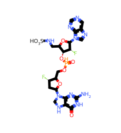 Nc1nc2c(c(=O)[nH]1)NCN2C1C[C@H](F)C(CO[PH](=O)O[C@@H]2C(CNS(=O)(=O)O)OC(n3cnc4cncnc43)[C@@H]2F)O1